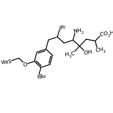 CSCOc1cc(CC(CC(N)C(C)(O)CC(C)C(=O)O)C(C)C)ccc1C(C)(C)C